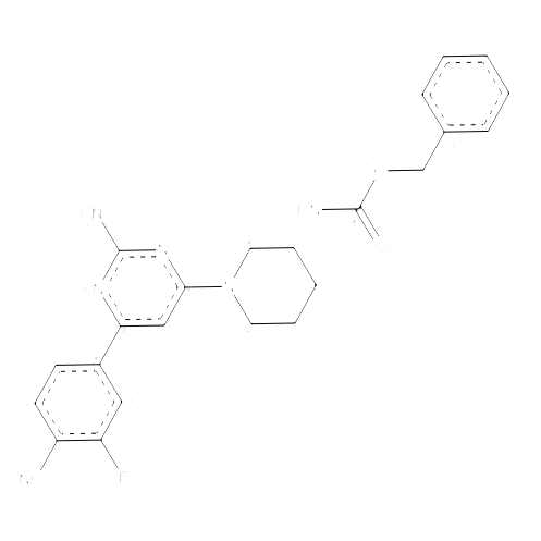 N#Cc1ccc(-c2cc(N3CCC[C@@H](NC(=O)OCc4ccccc4)C3)nc(N)n2)cc1F